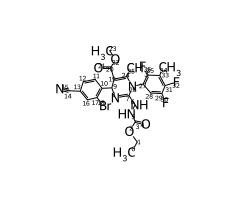 CCOC(=O)NNC1=NC(c2ccc(C#N)cc2Br)C(C(=O)OC)=C(C)N1c1cc(F)c(F)c(C)c1F